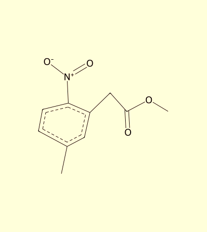 COC(=O)Cc1cc(C)ccc1[N+](=O)[O-]